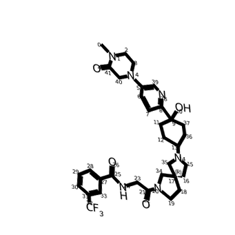 CN1CCN(c2ccc(C3(O)CCC(N4CC[C@@]5(CCN(C(=O)CNC(=O)c6cccc(C(F)(F)F)c6)C5)C4)CC3)nc2)CC1=O